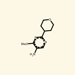 COc1nc(C2CCOCC2)ncc1N